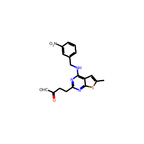 Cc1cc2c(NCc3cccc([N+](=O)[O-])c3)nc(CCC(=O)C=O)nc2s1